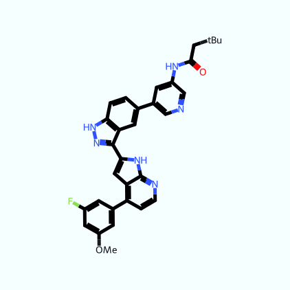 COc1cc(F)cc(-c2ccnc3[nH]c(-c4n[nH]c5ccc(-c6cncc(NC(=O)CC(C)(C)C)c6)cc45)cc23)c1